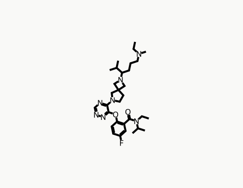 CCN(C)CCCC(C(C)C)N1CC2(CCN(c3ncnnc3Oc3ccc(F)cc3C(=O)N(CC)C(C)C)C2)C1